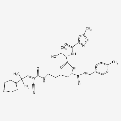 Cc1ccc(CNC(=O)[C@H](CCCCNC(=O)C(C#N)=CC(C)(C)N2CCOCC2)NC(=O)[C@@H](NC(=O)c2cc(C)on2)[C@@H](C)O)cc1